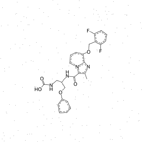 Cc1nc2c(OCc3c(F)cccc3F)cccn2c1C(=O)NC(CNC(=O)O)COc1ccccc1